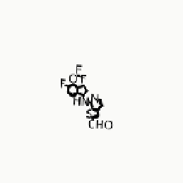 O=Cc1cc2ccnc(NC3CCc4c3ccc(F)c4OC(F)F)c2s1